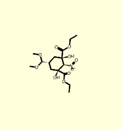 CCOC(=O)[C@]1(O)C[C@H](C(OC)OC)C[C@](O)(C(=O)OCC)[C@H]1[N+](=O)[O-]